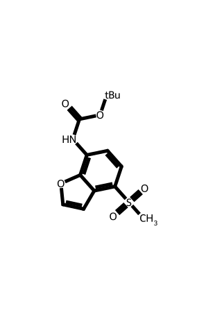 CC(C)(C)OC(=O)Nc1ccc(S(C)(=O)=O)c2ccoc12